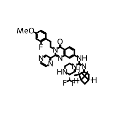 COc1ccc(CCn2c(-c3cnccn3)nc3cc(N/C(=N/C4C[C@H]5C[C@@H]([C@@H]4C)C5(C)C)N4CCN[C@@H](C(F)F)C4)ccc3c2=O)c(F)c1